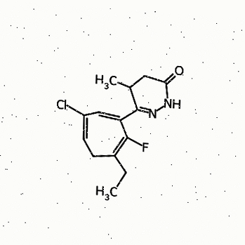 CCC1=C(F)C(C2=NNC(=O)CC2C)=CC(Cl)=CC1